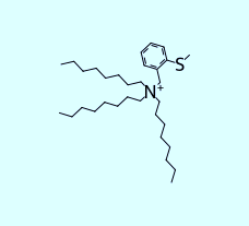 CCCCCCCC[N+](CCCCCCCC)(CCCCCCCC)Cc1ccccc1SC